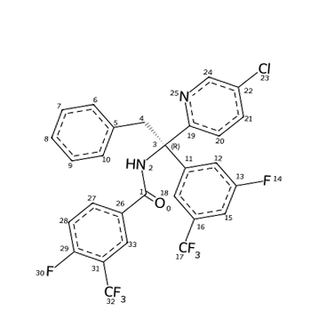 O=C(N[C@](Cc1ccccc1)(c1cc(F)cc(C(F)(F)F)c1)c1ccc(Cl)cn1)c1ccc(F)c(C(F)(F)F)c1